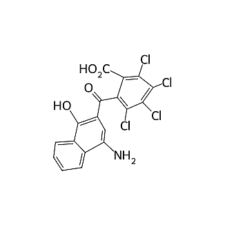 Nc1cc(C(=O)c2c(Cl)c(Cl)c(Cl)c(Cl)c2C(=O)O)c(O)c2ccccc12